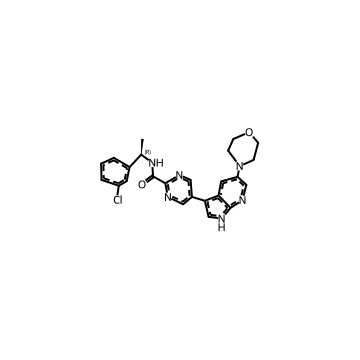 C[C@@H](NC(=O)c1ncc(-c2c[nH]c3ncc(N4CCOCC4)cc23)cn1)c1cccc(Cl)c1